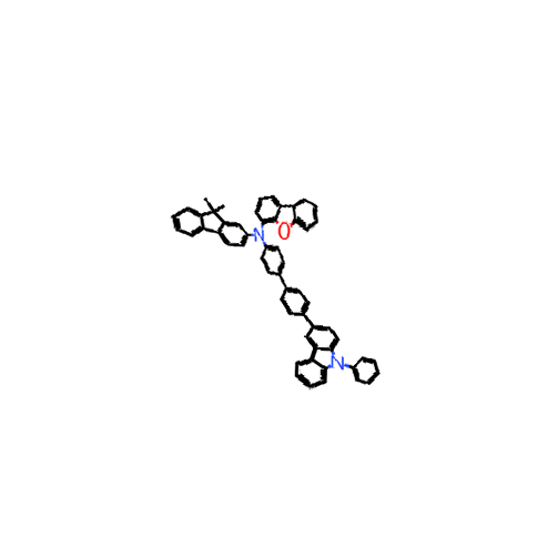 CC1(C)c2ccccc2-c2ccc(N(c3ccc(-c4ccc(-c5ccc6c(c5)c5ccccc5n6-c5ccccc5)cc4)cc3)c3cccc4c3oc3ccccc34)cc21